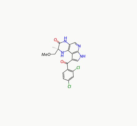 COC[C@]1(C)Nc2c(cnc3[nH]cc(C(=O)c4ccc(Cl)cc4Cl)c23)NC1=O